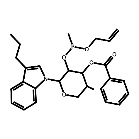 C=CCOP(C)OC1C(OC(=O)c2ccccc2)C(C)COC1n1cc(CCC)c2ccccc21